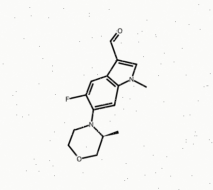 C[C@H]1COCCN1c1cc2c(cc1F)c(C=O)cn2C